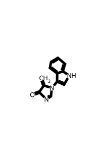 C=C1C(=O)N=CN1c1c[nH]c2ccccc12